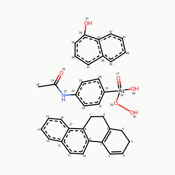 C1=CC2=C(CC1)CCc1c2ccc2ccccc12.CC(=O)Nc1ccc([As](=O)(O)OO)cc1.Oc1cccc2ccccc12